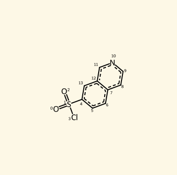 O=S(=O)(Cl)c1ccc2ccncc2c1